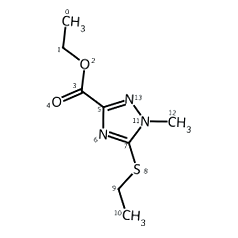 CCOC(=O)c1nc(SCC)n(C)n1